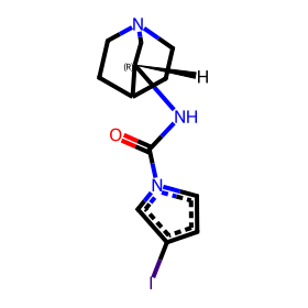 O=C(N[C@H]1CN2CCC1CC2)n1ccc(I)c1